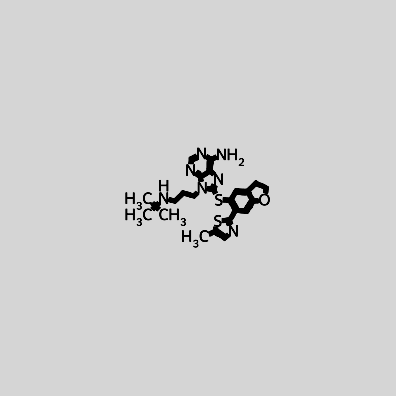 Cc1cnc(-c2cc3c(cc2Sc2nc4c(N)ncnc4n2CCCNC(C)(C)C)CCO3)s1